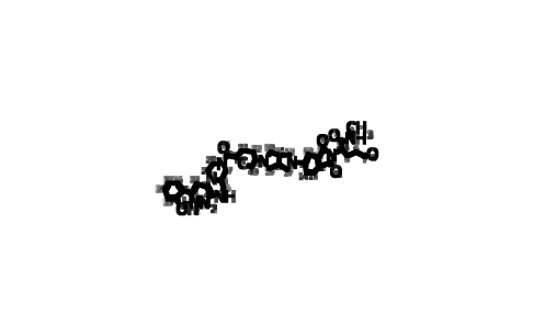 CNC(=O)C(CCC=O)N1C(=O)c2ccc(N3CC4CN(C5CCC(C(=O)N6CCN7C(/C=C(\N)c8ccccc8O)=C(N)NCC7C6)CC5)CC4C3)cc2C1=O